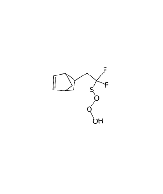 OOOSC(F)(F)CC1CC2C=CC1C2